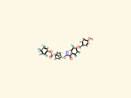 COc1ccc(COc2c(F)cc(C(=O)NC[C@]34CC[C@](C(=O)Oc5cc(F)c(F)c(F)c5F)(CC3)CC4)c(F)c2F)cc1